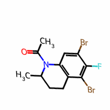 CC(=O)N1c2cc(Br)c(F)c(Br)c2CCC1C